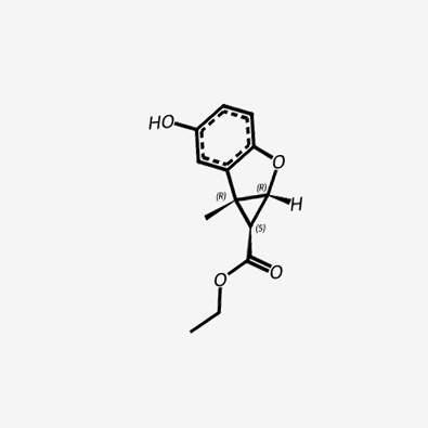 CCOC(=O)[C@@H]1[C@H]2Oc3ccc(O)cc3[C@]21C